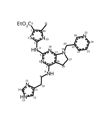 CCOC(=O)c1sc(Nc2nc(NCCc3c[nH]cn3)c3c(n2)N(Cc2cccnc2)CC3)nc1C